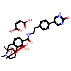 CN1CC[C@]23CC(=O)CC[C@@]2(O)[C@H]1Cc1ccc(C(=O)NCCc2ccc(-c4cnc(=O)[nH]c4)cc2)c(O)c13.O=C(O)/C=C\C(=O)O